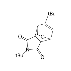 CC(C)(C)C1=CC2CCC1C1C(=O)N(C(C)(C)C)C(=O)C21